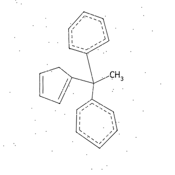 CC(C1=CC=CC1)(c1ccccc1)c1ccccc1